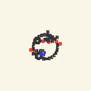 C[C@@H]1N[C@@H]2CCCCCCCC(=O)O[C@H]3CC[C@@H](CCCCCCCC(=O)O[C@H]1CC2)N(C(=O)COc1ccccc1)[C@H]3C